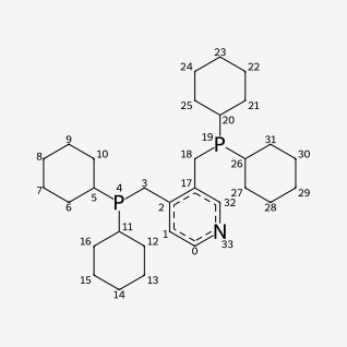 c1cc(CP(C2CCCCC2)C2CCCCC2)c(CP(C2CCCCC2)C2CCCCC2)cn1